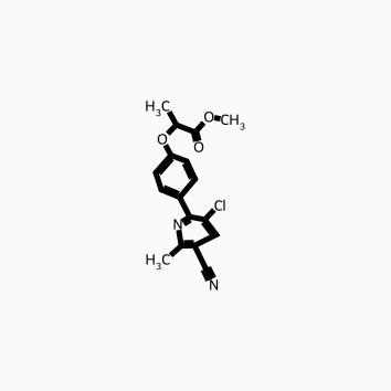 COC(=O)C(C)Oc1ccc(-c2nc(C)c(C#N)cc2Cl)cc1